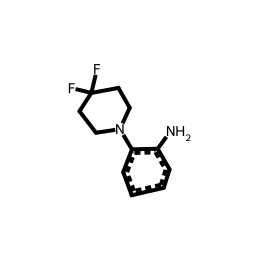 Nc1ccccc1N1CCC(F)(F)CC1